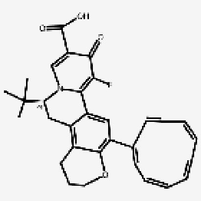 CC(C)(C)[C@@H]1Cc2c(cc(-c3ccccccccc3)c3c2CCCO3)-c2c(F)c(=O)c(C(=O)O)cn21